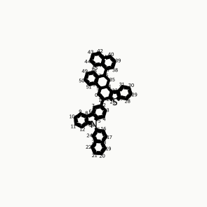 C1=C(c2ccc3c(c2)c2ccccc2n3-c2ccc3ccccc3c2)c2sc3ccccc3c2C2CC(c3cccc4ccccc34)c3ccccc3C12